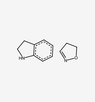 C1=NOCC1.c1ccc2c(c1)CCN2